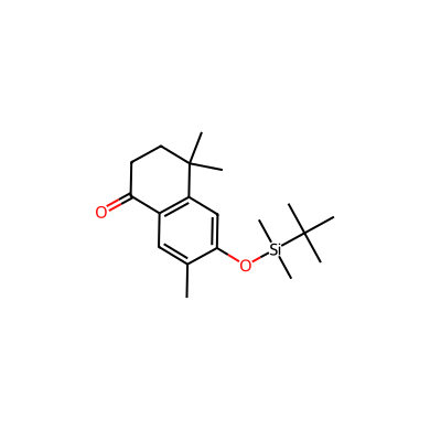 Cc1cc2c(cc1O[Si](C)(C)C(C)(C)C)C(C)(C)CCC2=O